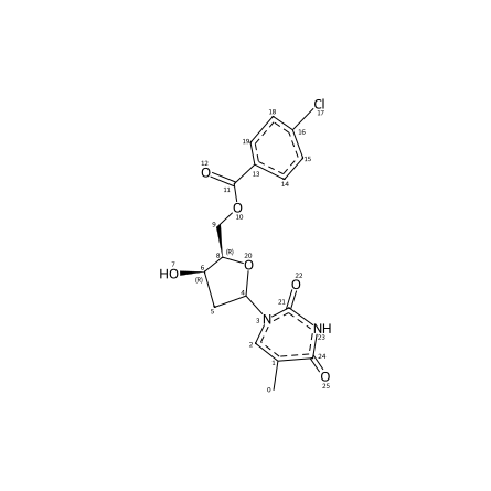 Cc1cn(C2C[C@@H](O)[C@@H](COC(=O)c3ccc(Cl)cc3)O2)c(=O)[nH]c1=O